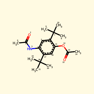 CC(=O)Nc1cc(C(C)(C)C)c(OC(C)=O)cc1C(C)(C)C